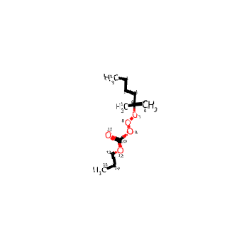 CCCCC(C)(C)OOOC(=O)OCCC